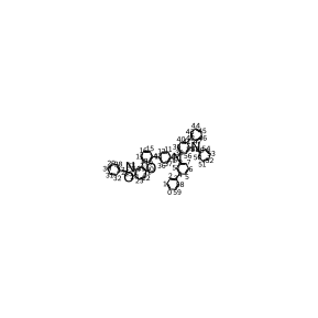 c1ccc(-c2cccc(N(c3ccc(-c4cccc5c4oc4ccc6oc(-c7ccccc7)nc6c45)cc3)c3ccc4c5ccccc5n(-c5ccccc5)c4c3)c2)cc1